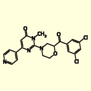 Cn1c(N2CCOC(C(=O)c3cc(Cl)cc(Cl)c3)C2)nc(-c2ccncc2)cc1=O